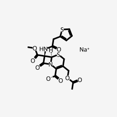 COC(=O)[C@@]1(NC(=O)Cc2cccs2)C(=O)N2C(C(=O)[O-])=C(COC(C)=O)CS[C@@H]21.[Na+]